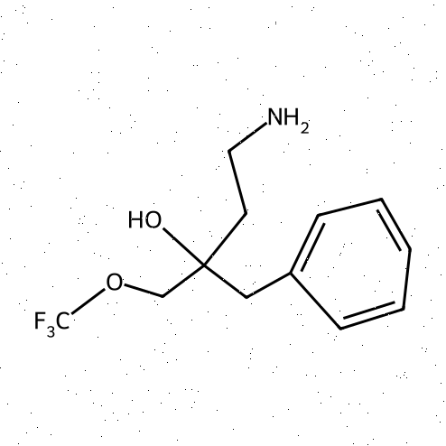 NCCC(O)(COC(F)(F)F)Cc1ccccc1